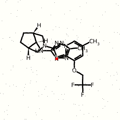 Cc1cc(OCC(F)(F)F)c2nc(N[C@@H]3[C@@H]4CC[C@H]3CN(c3nc(C)ns3)C4)nn2c1